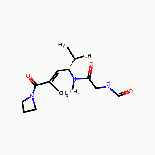 C/C(=C\[C@H](C(C)C)N(C)C(=O)CNC=O)C(=O)N1CCC1